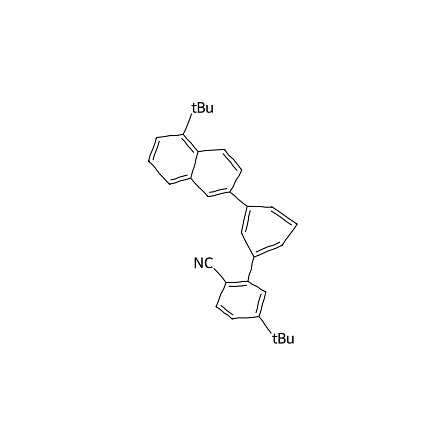 CC(C)(C)c1ccc(C#N)c(-c2cccc(-c3ccc4c(C(C)(C)C)cccc4c3)c2)c1